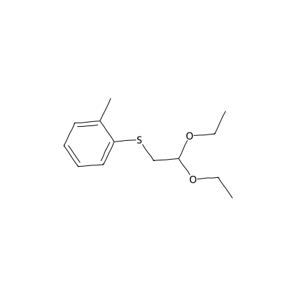 CCOC(CSc1ccccc1C)OCC